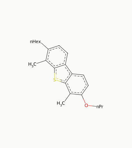 CCCCCCc1ccc2c(sc3c(C)c(OCCC)ccc32)c1C